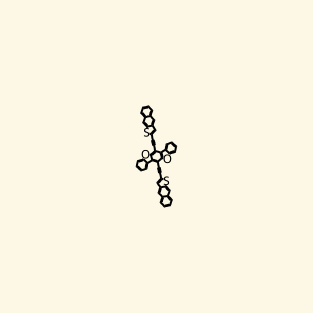 C(#Cc1c2oc3ccccc3c2c(C#Cc2cc3cc4ccccc4cc3s2)c2oc3ccccc3c12)c1cc2cc3ccccc3cc2s1